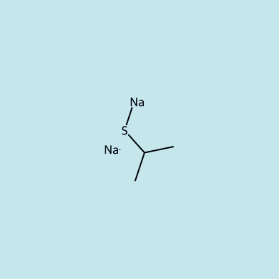 CC(C)[S][Na].[Na]